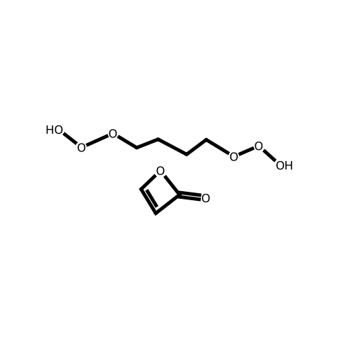 O=C1C=CO1.OOOCCCCOOO